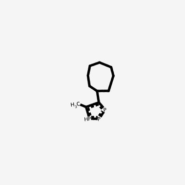 Cc1[pH]ppc1C1CCCCCCC1